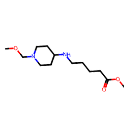 COCN1CCC(NCCCCC(=O)OC)CC1